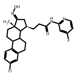 C[C@]12CCC3c4ccc(Cl)cc4CCC3C1[C@H](CCC(=O)Nc1cc(F)ccn1)C/C2=N\O